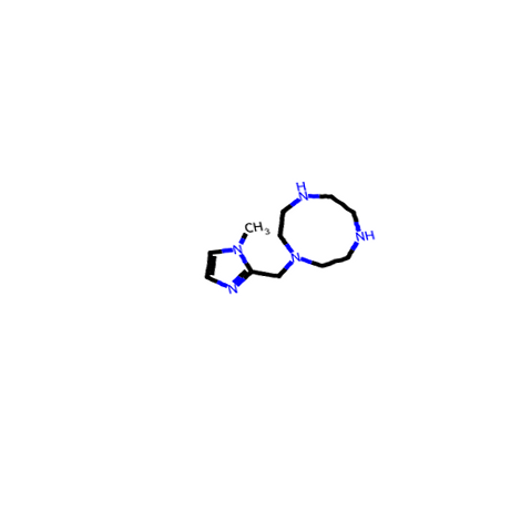 Cn1ccnc1CN1CCNCCNCC1